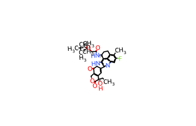 CC[C@@]1(O)C(=O)OCC2=C1C=C1c3nc4cc(F)c(C)c5c4c(c3NC1C2=O)[C@@H](NC(=O)CO[Si](C)(C)C(C)(C)C)CC5